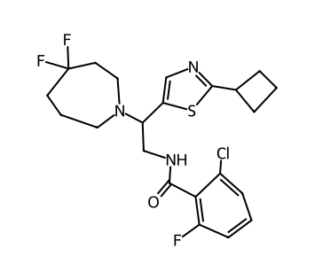 O=C(NCC(c1cnc(C2CCC2)s1)N1CCCC(F)(F)CC1)c1c(F)cccc1Cl